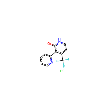 Cl.O=c1[nH]ccc(C(F)(F)F)c1-c1ccccn1